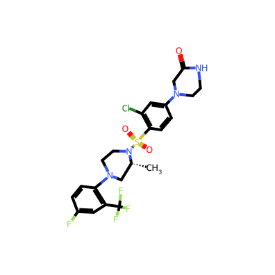 C[C@@H]1CN(c2ccc(F)cc2C(F)(F)F)CCN1S(=O)(=O)c1ccc(N2CCNC(=O)C2)cc1Cl